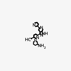 C#Cc1ccc(-c2n[nH]c3cnc(-c4cccnc4)cc23)nc1N1CCCC(N)C1